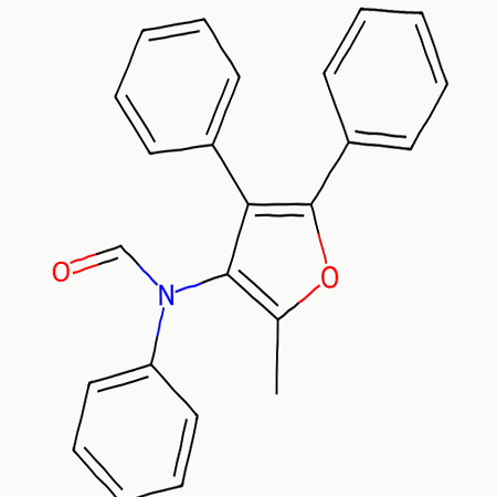 Cc1oc(-c2ccccc2)c(-c2ccccc2)c1N(C=O)c1ccccc1